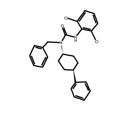 O=C(Nc1c(Cl)cccc1Cl)N(Cc1ccccc1)[C@H]1CC[C@H](c2ccccc2)CC1